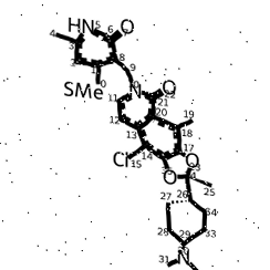 CSc1cc(C)[nH]c(=O)c1Cn1ccc2c(Cl)c3c(c(C)c2c1=O)O[C@](C)([C@H]1CC[C@H](N(C)C)CC1)O3